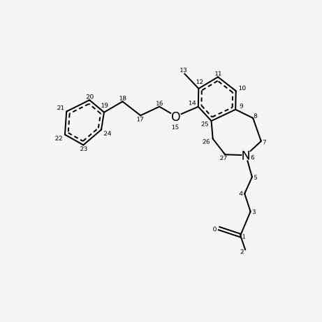 C=C(C)CCCN1CCc2ccc(C)c(OCCCc3ccccc3)c2CC1